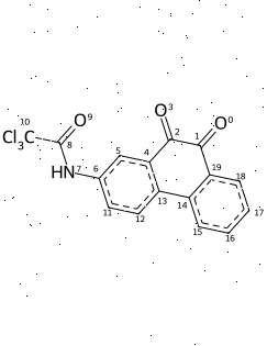 O=C1C(=O)c2cc(NC(=O)C(Cl)(Cl)Cl)ccc2-c2ccccc21